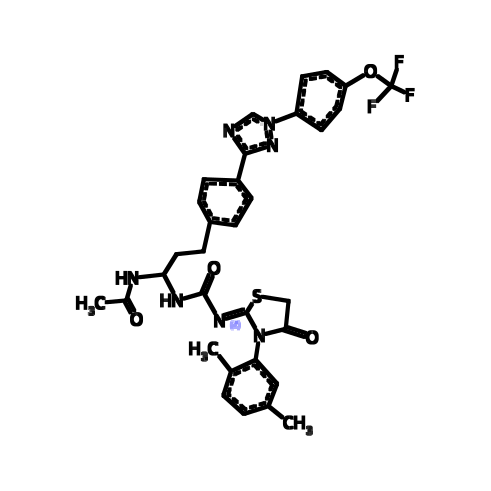 CC(=O)NC(CCc1ccc(-c2ncn(-c3ccc(OC(F)(F)F)cc3)n2)cc1)NC(=O)/N=C1\SCC(=O)N1c1cc(C)ccc1C